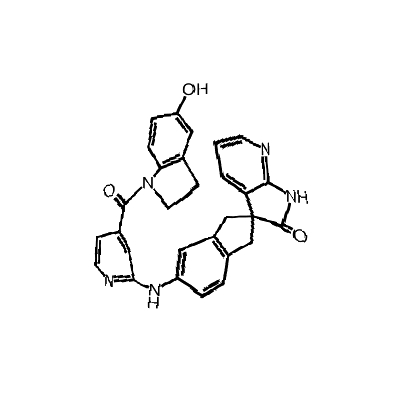 O=C(c1ccnc(Nc2ccc3c(c2)CC2(C3)C(=O)Nc3ncccc32)c1)N1CCc2cc(O)ccc21